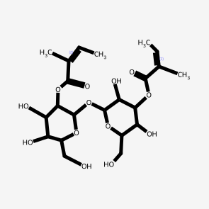 C/C=C(/C)C(=O)OC1C(OC2OC(CO)C(O)C(OC(=O)/C(C)=C\C)C2O)OC(CO)C(O)C1O